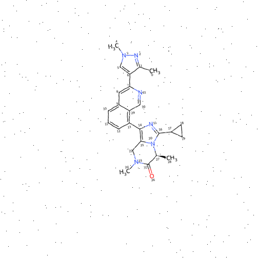 Cc1nn(C)cc1-c1cc2cccc(-c3nc(C4CC4)n4c3CN(C)C(=O)[C@@H]4C)c2cn1